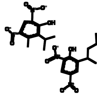 CCCC(C)c1cc([N+](=O)[O-])cc([N+](=O)[O-])c1O.Cc1c([N+](=O)[O-])cc([N+](=O)[O-])c(O)c1C(C)C